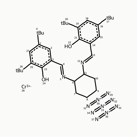 CC(C)(C)c1cc(/C=N/C2CCCCC2/N=C/c2cc(C(C)(C)C)cc(C(C)(C)C)c2O)c(O)c(C(C)(C)C)c1.[Cr+3].[N-]=[N+]=[N-].[N-]=[N+]=[N-].[N-]=[N+]=[N-]